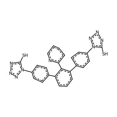 Sc1nnnn1-c1ccc(-c2cccc(-c3ccc(-n4nnnc4S)cc3)c2-c2ccccn2)cc1